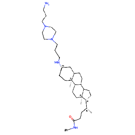 CC(C)NC(=O)CC[C@@H](C)[C@H]1CCC2C3CCC4C[C@@H](NCCCN5CCN(CCCN)CC5)CC[C@]4(C)C3CC[C@@]21C